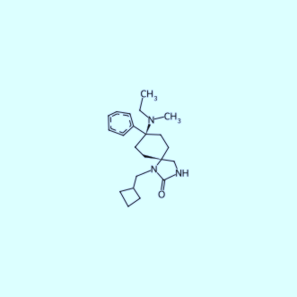 CCN(C)[C@]1(c2ccccc2)CC[C@@]2(CC1)CNC(=O)N2CC1CCC1